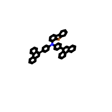 c1ccc2c(c1)cc(-c1ccc(N(c3ccc(-c4cc5ccccc5c5ccccc45)cc3)c3cccc4c3sc3ccccc34)cc1)c1ccccc12